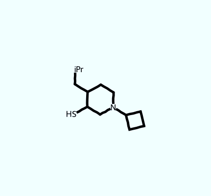 CC(C)CC1CCN(C2CCC2)CC1S